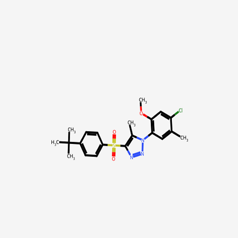 COc1cc(Cl)c(C)cc1-n1nnc(S(=O)(=O)c2ccc(C(C)(C)C)cc2)c1C